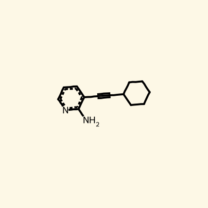 Nc1ncccc1C#CC1CCCCC1